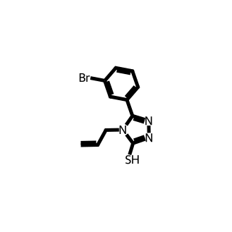 C=CCn1c(S)nnc1-c1cccc(Br)c1